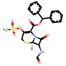 CS(=O)(=O)OC1=C(C(=O)OC(c2ccccc2)c2ccccc2)N2C(=O)C(NC=O)[C@H]2SC1